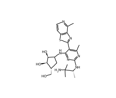 Cc1nc(N[C@H](C)C(C)(C)N)nc(NC2C[C@H](CO)[C@@H](O)[C@H]2O)c1-c1nc2c(C)nccc2s1